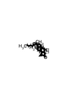 CCCCCC(=O)O[C@@]1(C(C)=O)CC[C@H]2[C@@H]3C=C(Cl)C4=CC(=O)C5CC5[C@@]4(C)[C@@H]3CC[C@@]21C